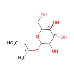 C[C@H](CC(=O)O)OC1OC(CO)[C@@H](O)[C@H](O)C1O